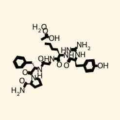 CC(=O)O.CCCC[C@@H](NC(=O)[C@H](Cc1ccc(O)cc1)NC(=N)N)C(=O)NCC(=O)N[C@@H](Cc1ccccc1)C(=O)N1CCC[C@H]1C(N)=O.O